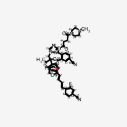 CC(SC1COC(C=CC=Cc2ccc(C#N)cc2F)OC1)C(Cn1cncn1)(OC(=O)c1cc(C#N)ccc1COC(=O)CCC(=O)N1CCN(C)CC1)c1ccc(F)cc1F